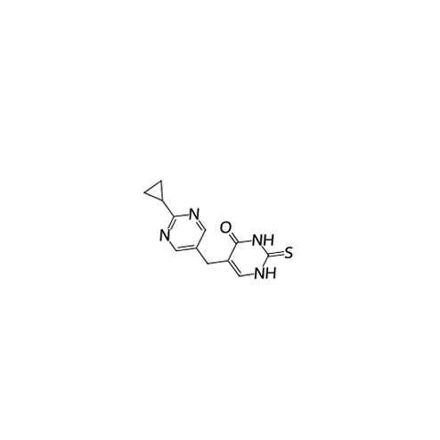 O=c1[nH]c(=S)[nH]cc1Cc1cnc(C2CC2)nc1